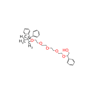 CC(C)(C)[Si](OCCOCCOCCOCCOC(CO)c1ccccc1)(c1ccccc1)c1ccccc1